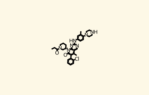 CCC(=O)N1CCC[C@H](n2c(=O)c(-c3ccccc3Cl)c(C)c3cnc(Nc4ccc(N5CCNCC5)c(C)c4)nc32)C1